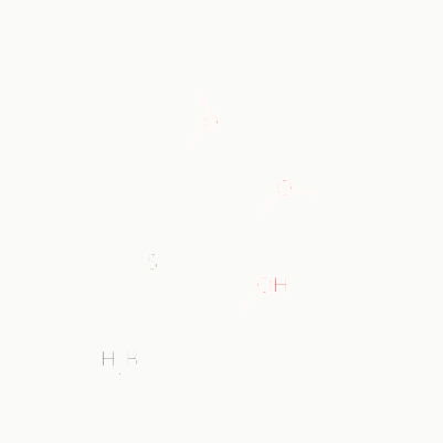 B[C@@H](CO)SC(COC)COC